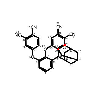 N#Cc1ccc(Oc2cccc(C3C4CC5CC(C4)CC3C5)c2Oc2ccc(C#N)c(C#N)c2)cc1C#N